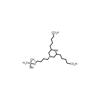 CC(C)(C)[Si](C)(C)OCCCCN1CC(CCCCC(=O)O)NC(CCCCC(=O)O)C1